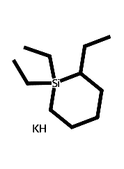 CCC1CCCC[Si]1(CC)CC.[KH]